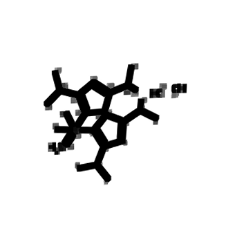 CC(C)C1=CC(C(C)C)=[C]([Zr]([CH3])([CH3])(=[SiH2])[C]2=C(C(C)C)C=C(C(C)C)C2)C1.Cl.Cl